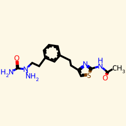 CC(=O)Nc1nc(CCc2cccc(CCN(N)C(N)=O)c2)cs1